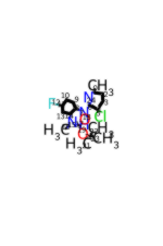 Cc1ccc(Cl)c(Nc2ccc(F)cc2N(C)C(=O)OC(C)(C)C)n1